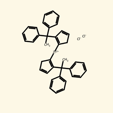 CC(C1=[C]([Zr+2][C]2=C(C(C)(c3ccccc3)c3ccccc3)C=CC2)CC=C1)(c1ccccc1)c1ccccc1.[Cl-].[Cl-]